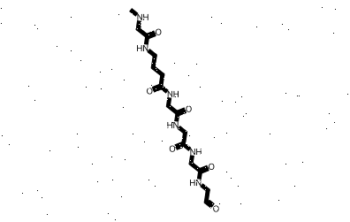 CNCC(=O)NCCCC(=O)NCC(=O)NCC(=O)NCC(=O)NCC=O